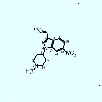 C=Cc1cn(C2CCN(C)CC2)c2cc([N+](=O)[O-])ccc12